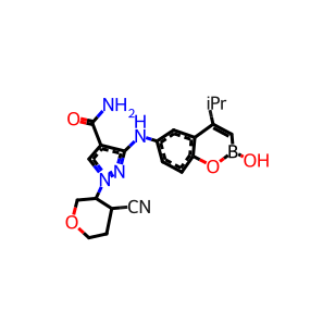 CC(C)C1=CB(O)Oc2ccc(Nc3nn(C4COCCC4C#N)cc3C(N)=O)cc21